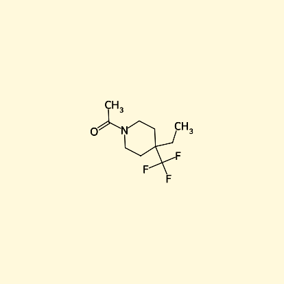 CCC1(C(F)(F)F)CCN(C(C)=O)CC1